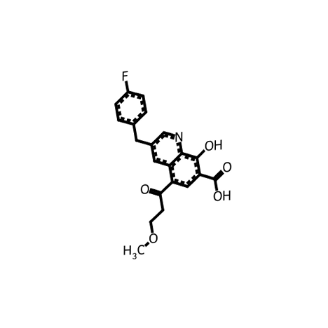 COCCC(=O)c1cc(C(=O)O)c(O)c2ncc(Cc3ccc(F)cc3)cc12